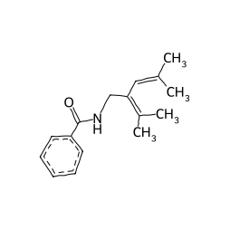 CC(C)=CC(CNC(=O)c1ccccc1)=C(C)C